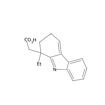 CCC1(CC(=O)O)CCC=C2C1=Nc1ccccc12